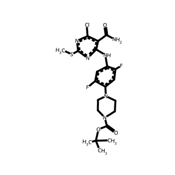 CSc1nc(Cl)c(C(N)=O)c(Nc2cc(F)c(N3CCN(C(=O)OC(C)(C)C)CC3)cc2F)n1